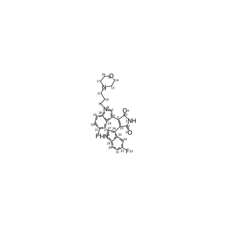 O=C1NC(=O)C(c2cn(CCCN3CCOCC3)c3ccc(F)cc23)=C1c1c[nH]c2ccc(F)cc12